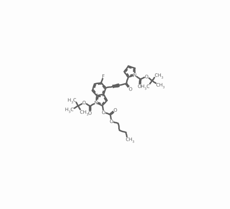 CCCCOC(=O)Oc1cc2c(C#CC(=O)c3cccn3C(=O)OC(C)(C)C)c(F)ccc2n1C(=O)OC(C)(C)C